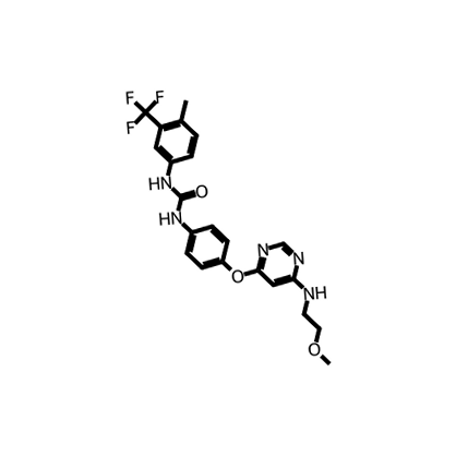 COCCNc1cc(Oc2ccc(NC(=O)Nc3ccc(C)c(C(F)(F)F)c3)cc2)ncn1